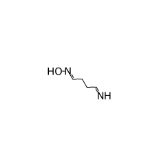 N=CCCC=NO